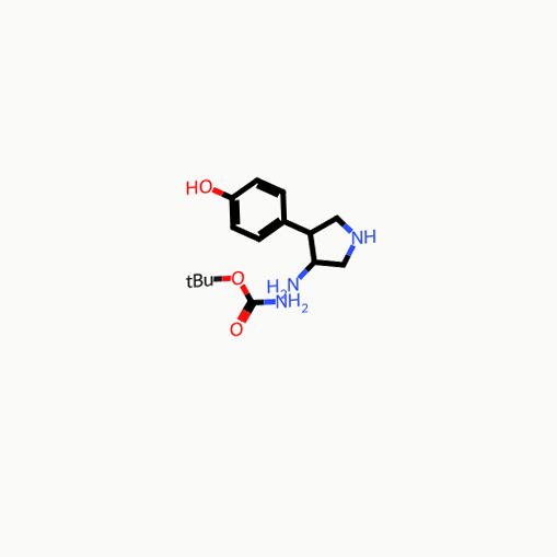 CC(C)(C)OC(N)=O.NC1CNCC1c1ccc(O)cc1